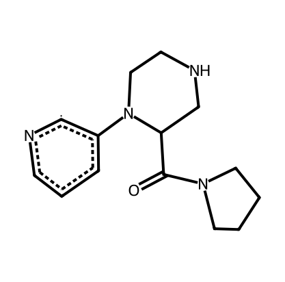 O=C(C1CNCCN1c1[c]nccc1)N1CCCC1